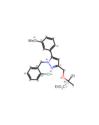 CCOC(=O)[C@@](C)(CC)OCc1cc(-c2cccc(OC)c2)n(Cc2ccccc2Cl)n1